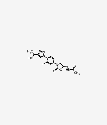 CC(=O)NCC1CN(c2ccc(-n3cc(C(C)O)nn3)c(F)c2)C(=O)O1